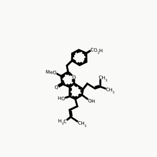 COc1c(Cc2ccc(C(=O)O)cc2)oc2c(CC=C(C)C)c(O)c(CC=C(C)C)c(O)c2c1=O